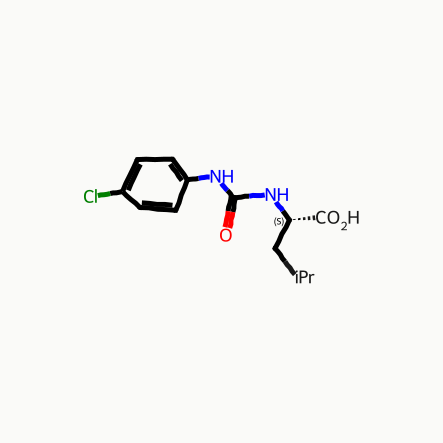 CC(C)C[C@H](NC(=O)Nc1ccc(Cl)cc1)C(=O)O